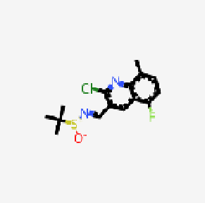 Cc1ccc(F)c2cc(C=N[S@+]([O-])C(C)(C)C)c(Cl)nc12